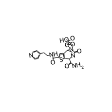 NC(=O)C1c2sc(C(=O)NCCc3ccncc3)cc2C2CN1C(=O)N2OS(=O)(=O)O